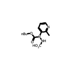 CCCCOC(=O)N(NC(=O)O)c1cccnc1C